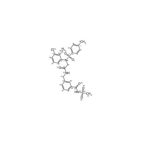 Cc1ccc(S(=O)(=O)N(CC(=O)NCc2cccc(C(=O)NS(C)(=O)=O)c2)c2cccc(Cl)c2C)cc1